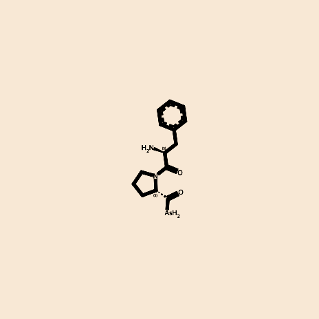 N[C@@H](Cc1ccccc1)C(=O)N1CCC[C@H]1C(=O)[AsH2]